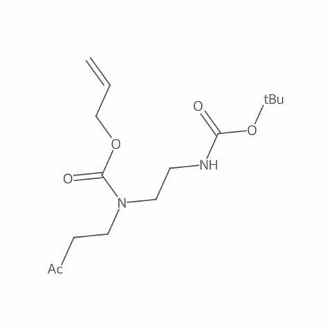 C=CCOC(=O)N(CCNC(=O)OC(C)(C)C)CCC(C)=O